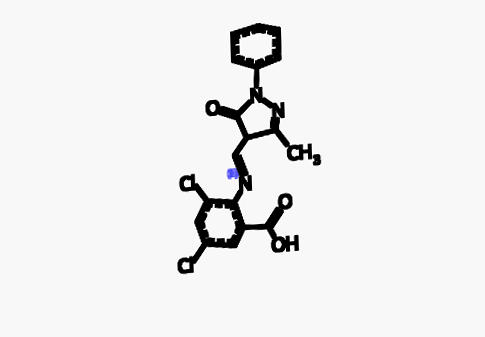 CC1=NN(c2ccccc2)C(=O)C1/C=N/c1c(Cl)cc(Cl)cc1C(=O)O